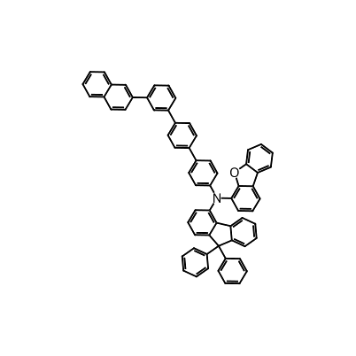 c1ccc(C2(c3ccccc3)c3ccccc3-c3c(N(c4ccc(-c5ccc(-c6cccc(-c7ccc8ccccc8c7)c6)cc5)cc4)c4cccc5c4oc4ccccc45)cccc32)cc1